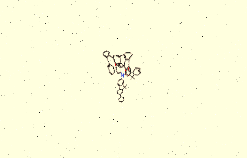 CC1(C)c2ccccc2-c2ccc(N(c3ccc4c(c3)C(C)(C)c3cc(-c5ccccc5)ccc3-4)c3ccccc3C34c5ccccc5-c5cccc(c53)-c3cc(-c5ccccc5-c5ccccc5)ccc34)cc21